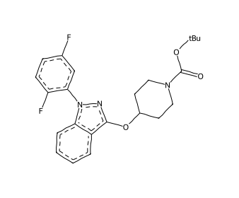 CC(C)(C)OC(=O)N1CCC(Oc2nn(-c3cc(F)ccc3F)c3ccccc23)CC1